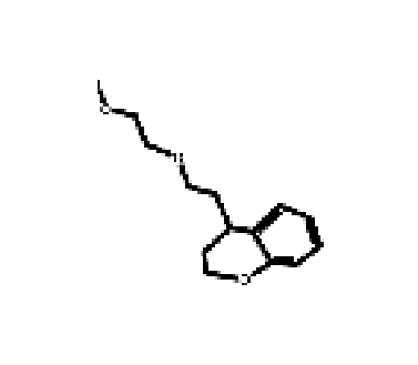 IOCCOCCC1CCOc2ccccc21